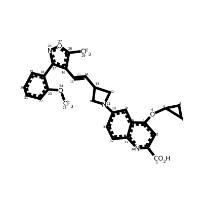 O=C(O)c1cc(OC2CC2)c2cc(N3CC(/C=C/c4c(-c5ccccc5OC(F)(F)F)noc4C(F)(F)F)C3)ccc2n1